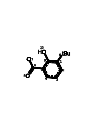 CC(C)(C)c1cccc(C([O])=O)c1O